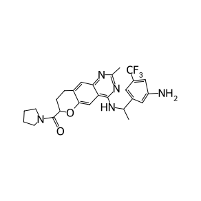 Cc1nc(NC(C)c2cc(N)cc(C(F)(F)F)c2)c2cc3c(cc2n1)CCC(C(=O)N1CCCC1)O3